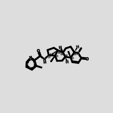 Cc1cccnc1C(=O)N[C@H]1CC[C@H]2[C@@H]3CC[C@H]4N(C)C(=O)C=C[C@]4(C)[C@H]3CC[C@]12C